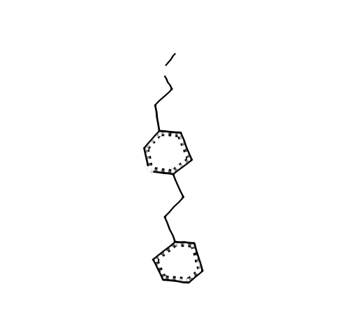 COCCc1ccc(CCc2ccccc2)nc1